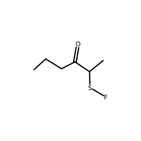 CCCC(=O)C(C)SF